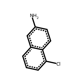 Nc1ccc2c(Cl)cccc2c1